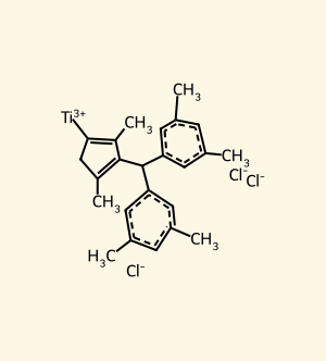 CC1=C(C(c2cc(C)cc(C)c2)c2cc(C)cc(C)c2)C(C)=[C]([Ti+3])C1.[Cl-].[Cl-].[Cl-]